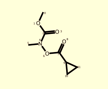 COC(=O)N(C)OC(=O)C1CC1